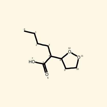 CCCCC(C(=O)O)C1CCOO1